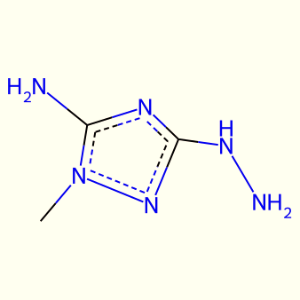 Cn1nc(NN)nc1N